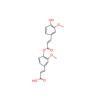 COc1cc(/C=C/C(=O)Oc2ccc(C=CC(=O)O)cc2OC)ccc1O